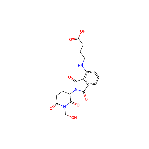 O=C(O)CCCNc1cccc2c1C(=O)N(C1CCC(=O)N(CO)C1=O)C2=O